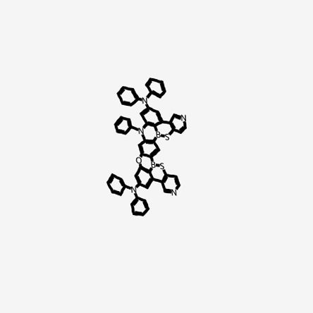 c1ccc(N(c2ccccc2)c2cc3c4c(c2)-c2cnccc2SB4c2cc4c(cc2O3)N(c2ccccc2)c2cc(N(c3ccccc3)c3ccccc3)cc3c2B4Sc2ccncc2-3)cc1